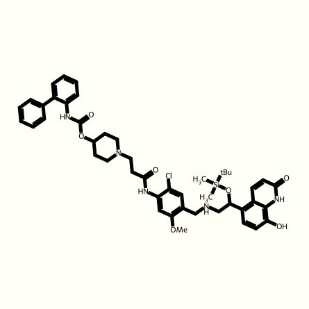 COc1cc(NC(=O)CCN2CCC(OC(=O)Nc3ccccc3-c3ccccc3)CC2)c(Cl)cc1CNCC(O[Si](C)(C)C(C)(C)C)c1ccc(O)c2[nH]c(=O)ccc12